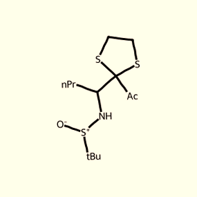 CCCC(N[S+]([O-])C(C)(C)C)C1(C(C)=O)SCCS1